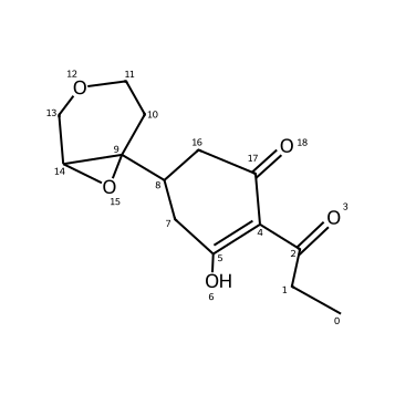 CCC(=O)C1=C(O)CC(C23CCOCC2O3)CC1=O